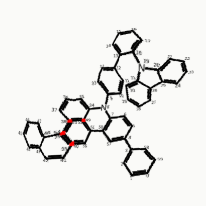 c1ccc(-c2ccc(N(c3ccc(-c4ccccc4-n4c5ccccc5c5ccccc54)cc3)c3cccc(-c4cccc5ccccc45)c3)c(-c3ccccc3)c2)cc1